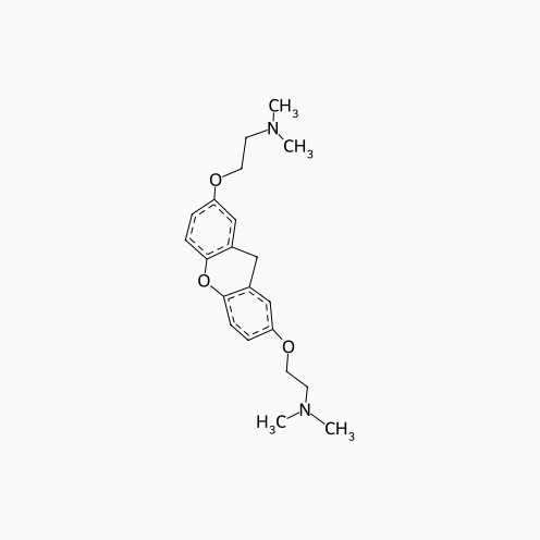 CN(C)CCOc1ccc2c(c1)Cc1cc(OCCN(C)C)ccc1O2